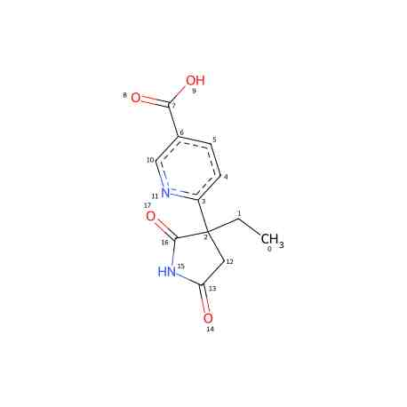 CCC1(c2ccc(C(=O)O)cn2)CC(=O)NC1=O